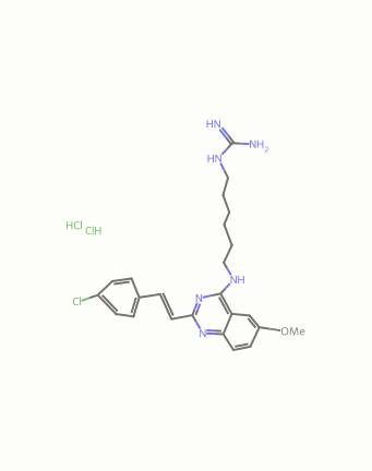 COc1ccc2nc(C=Cc3ccc(Cl)cc3)nc(NCCCCCCNC(=N)N)c2c1.Cl.Cl